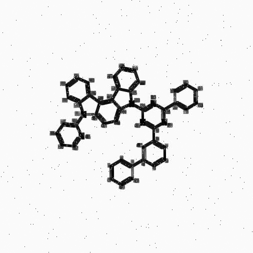 c1ccc(-c2cccc(-c3nc(-c4ccccc4)nc(-n4c5ccccc5c5c6c7ccccc7n(-c7ccccn7)c6ccc54)n3)c2)cc1